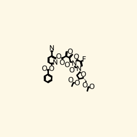 CC(=O)OC[C@H]1O[C@@H](n2cc(F)c(=O)n(C(=O)c3cocc3C(=O)Oc3nc(OC(=O)c4ccccc4)ccc3C#N)c2=O)C[C@@H]1OC(C)=O